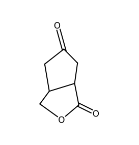 O=C1CC2COC(=O)C2C1